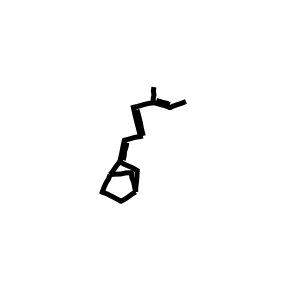 CC=C(C)C=CC=C1CC2CCC1C2